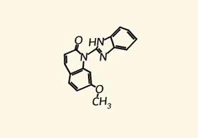 COc1ccc2ccc(=O)n(-c3nc4ccccc4[nH]3)c2c1